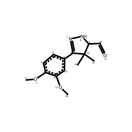 COc1ccc(C2=NNC(C=O)C2(C)C)cc1OC